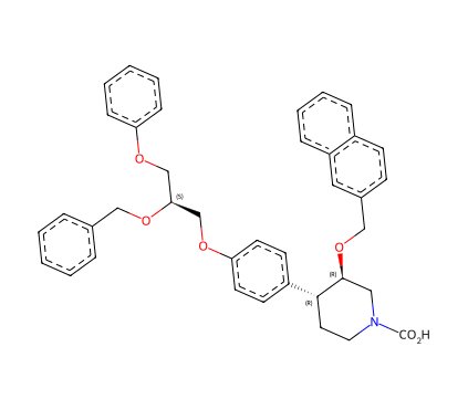 O=C(O)N1CC[C@H](c2ccc(OC[C@H](COc3ccccc3)OCc3ccccc3)cc2)[C@@H](OCc2ccc3ccccc3c2)C1